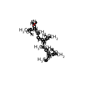 C=CC(=O)N1CCN(c2nc(OC[C@@H]3CC(c4ccc(N5CCc6c(nc(OC[C@@H]7CCCN7C)nc6N6CCN(C(=O)C=C)C(CC#N)C6)C5)c(C)c4C)CN3C)nc3c2CCN(c2cc(C4C[C@@H](COc5nc6c(c(N7CCN(C(=O)C=C)C(CC#N)C7)n5)CCN(c5cccnc5C(F)(F)F)C6)N(C)C4)ccc2F)C3)CC1CC#N